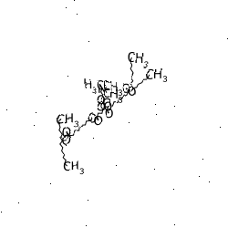 CCCCCCCCC(CCCCCC)OC(=O)CCCCCCCOC(=O)CCC(OC(=O)OCCN(C)C(C)C)C(=O)OCCCCCCCC(=O)OC(CCCCCC)CCCCCCCC